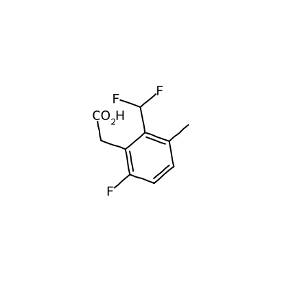 Cc1ccc(F)c(CC(=O)O)c1C(F)F